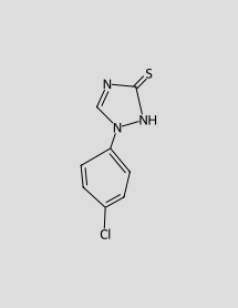 S=c1ncn(-c2ccc(Cl)cc2)[nH]1